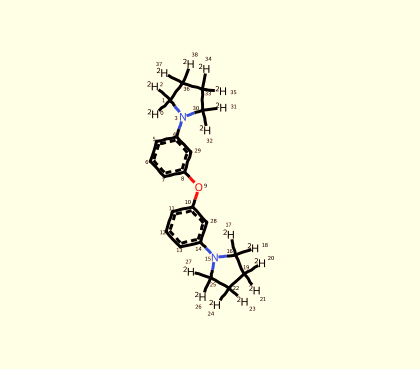 [2H]C1([2H])N(c2cccc(Oc3cccc(N4C([2H])([2H])C([2H])([2H])C([2H])([2H])C4([2H])[2H])c3)c2)C([2H])([2H])C([2H])([2H])C1([2H])[2H]